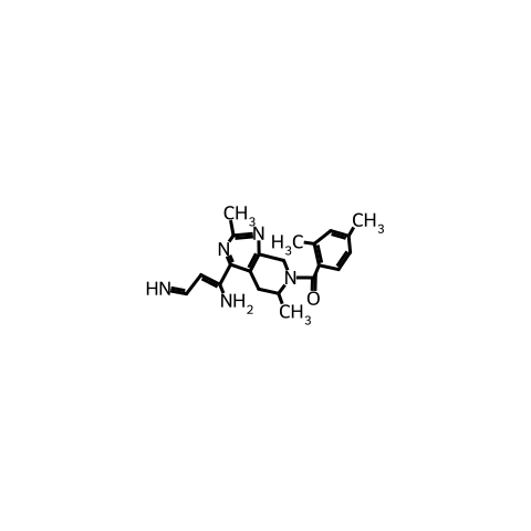 Cc1ccc(C(=O)N2Cc3nc(C)nc(/C(N)=C/C=N)c3CC2C)c(C)c1